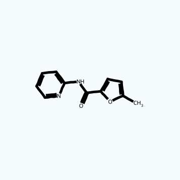 Cc1ccc(C(=O)Nc2ccccn2)o1